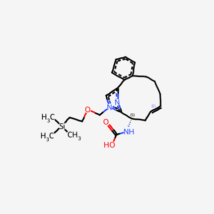 C[Si](C)(C)CCOCn1cc2nc1[C@@H](NC(=O)O)C/C=C/CCCc1ccccc1-2